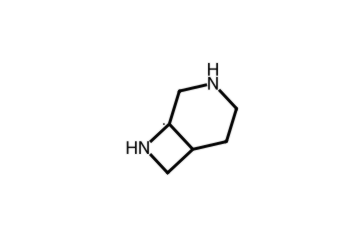 C1CC2CN[C]2CN1